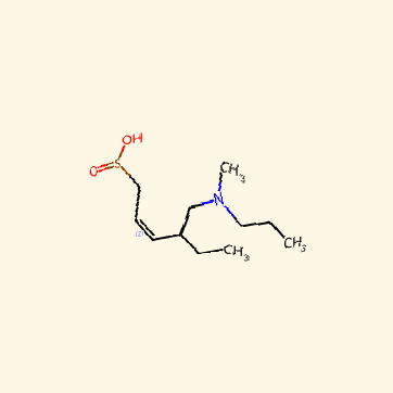 CCCN(C)CC(/C=C\CS(=O)O)CC